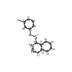 Cc1cccc(CSc2nncc3ccccc23)c1